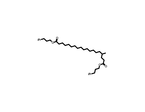 CC(C)CCCOC(=O)CCCCCCCCCCCCCCC(C)CCC(=O)OCCCC(C)C